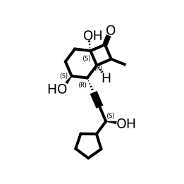 CC1C(=O)[C@]2(O)CC[C@H](O)[C@@H](C#C[C@@H](O)C3CCCC3)[C@H]12